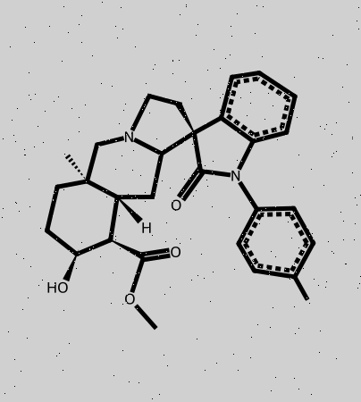 COC(=O)[C@@H]1[C@H]2CC3N(CC[C@@]34C(=O)N(c3ccc(C)cc3)c3ccccc34)C[C@]2(C)CC[C@@H]1O